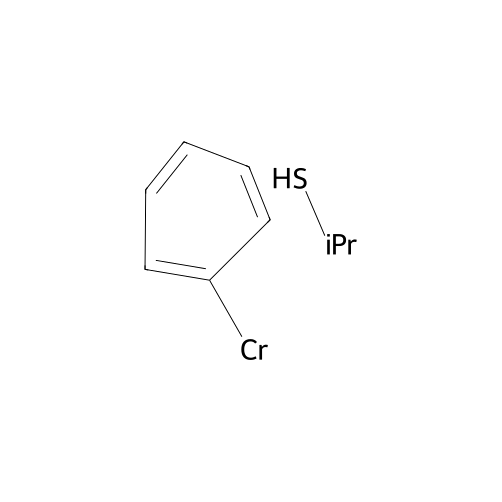 [CH]C(C)S.[Cr][c]1ccccc1